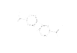 CCC(=O)c1ccc2c(c1)-c1ccc(C(=O)CC)cc1-2